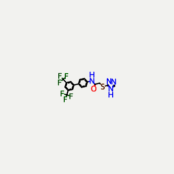 O=C(CSc1nnc[nH]1)Nc1ccc(-c2cc(C(F)(F)F)cc(C(F)(F)F)c2)cc1